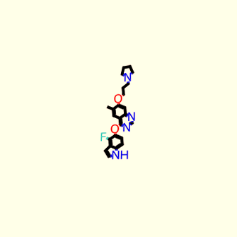 Cc1cc2c(Oc3ccc4[nH]ccc4c3F)ncnc2cc1OCCCN1CCCC1